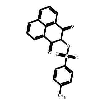 Cc1ccc(S(=O)(=O)OC2C(=O)c3cccc4cccc(c34)C2=O)cc1